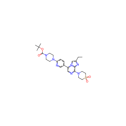 CCc1cn2c(-c3ccc(N4CCN(C(=O)OC(C)(C)C)CC4)nc3)cnc(N3CCS(=O)(=O)CC3)c2n1